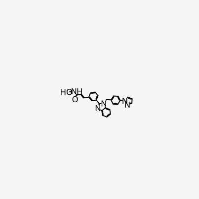 O=C(C=Cc1cccc(-c2nc3ccccc3n2Cc2ccc(-n3cccn3)cc2)c1)NO